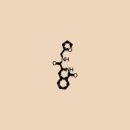 O=C(NCc1ccco1)c1cc2ccccc2c(=O)[nH]1